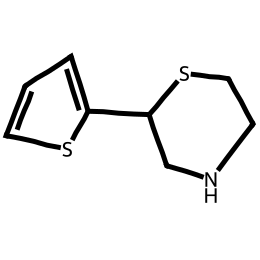 c1csc(C2CNCCS2)c1